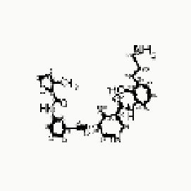 Cc1ccoc1C(=O)Nc1cccc(C#C[C@H]2C=NC=C(C(=O)Nc3cccc(CCCN)c3O)C2=S)c1